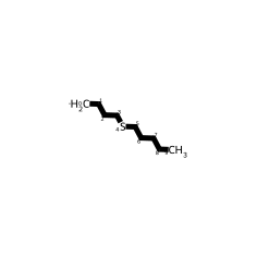 [CH2]CCCSCCCCC